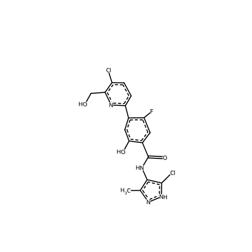 Cc1n[nH]c(Cl)c1NC(=O)c1cc(F)c(-c2ccc(Cl)c(CO)n2)cc1O